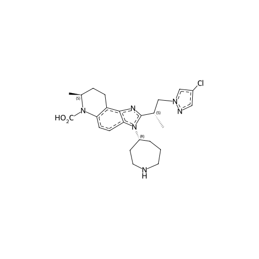 C[C@@H](Cn1cc(Cl)cn1)c1nc2c3c(ccc2n1[C@@H]1CCCNCC1)N(C(=O)O)[C@@H](C)CC3